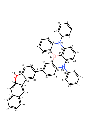 c1ccc(N2c3ccccc3B3c4cc(-c5ccc6oc7cc8ccccc8cc7c6c5)ccc4N(c4ccccc4)c4cccc2c43)cc1